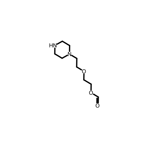 O=COCCOCCN1CCNCC1